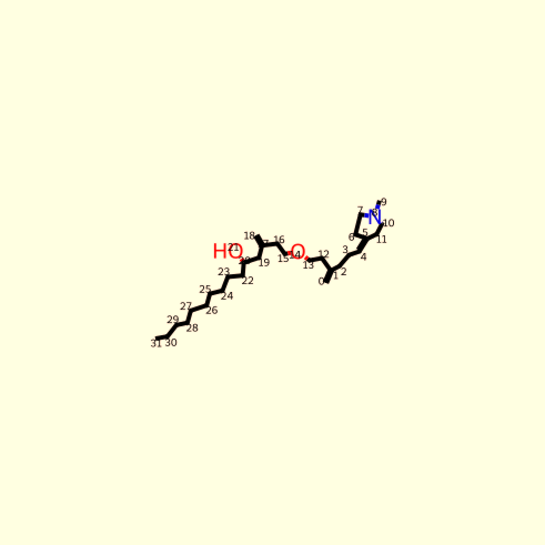 C=C(CCC=C1CCN(C)CC1)CCOCCC(=C)CC(O)CCCCCCCCCC